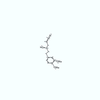 COc1ccc(CC[C@@H](O)CN=[N+]=[N-])cc1OC